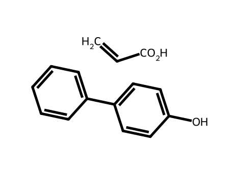 C=CC(=O)O.Oc1ccc(-c2ccccc2)cc1